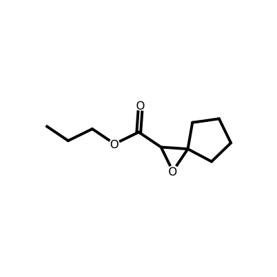 CCCOC(=O)C1OC12CCCC2